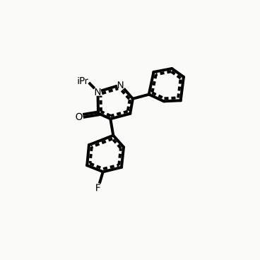 CC(C)n1nc(-c2ccccc2)cc(-c2ccc(F)cc2)c1=O